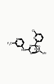 CCCN1OC2(c3cccc(Cl)n3)N=C(Nc3ccnc(C(F)(F)F)c3)N=C1N2